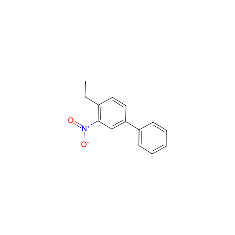 CCc1ccc(-c2ccccc2)cc1[N+](=O)[O-]